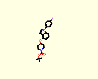 CC(C)(C)OC(=O)N1CCC(Oc2cccc3c2ccn3-c2ccc(I)cc2)CC1